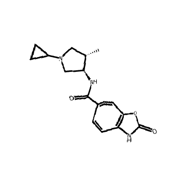 C[C@H]1CN(C2CC2)C[C@@H]1NC(=O)c1ccc2[nH]c(=O)oc2c1